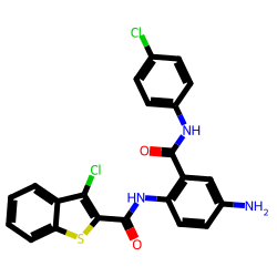 Nc1ccc(NC(=O)c2sc3ccccc3c2Cl)c(C(=O)Nc2ccc(Cl)cc2)c1